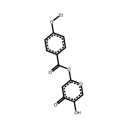 CCOc1ccc(C(=O)Oc2cc(=O)c(O)co2)cc1